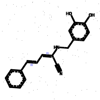 N#C/C(=C\C=C\c1ccccc1)NCc1ccc(O)c(O)c1